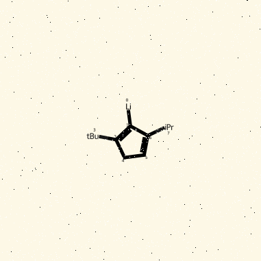 [Li][C]1=C(C(C)(C)C)CC=C1C(C)C